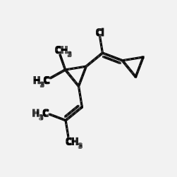 CC(C)=CC1C(C(Cl)=C2CC2)C1(C)C